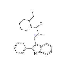 CCC1CCCCN1C(=O)/C(C)=C/c1c(-c2ccccc2)nn2ccccc12